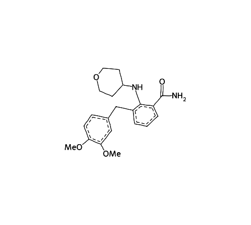 COc1ccc(Cc2cccc(C(N)=O)c2NC2CCOCC2)cc1OC